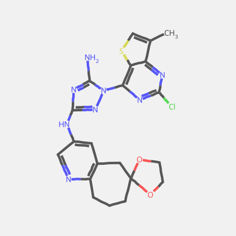 Cc1csc2c(-n3nc(Nc4cnc5c(c4)CC4(CCC5)OCCO4)nc3N)nc(Cl)nc12